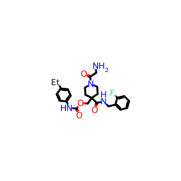 CCc1ccc(NC(=O)OCC2(C(=O)NCc3ccccc3F)CCN(C(=O)CN)CC2)cc1